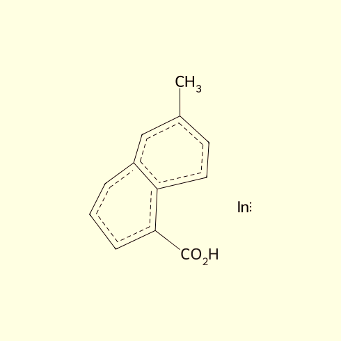 Cc1ccc2c(C(=O)O)cccc2c1.[In]